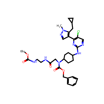 Cn1ncc(-c2nc(NC3CCC(N(CC(=O)NCCNC(=O)OC(C)(C)C)C(=O)OCc4ccccc4)CC3)ncc2Cl)c1CC1CC1